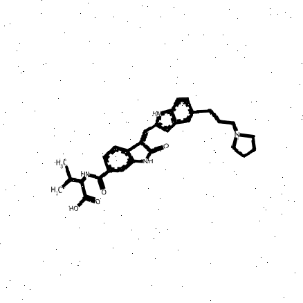 CC(C)C(NC(=O)c1ccc2c(c1)NC(=O)C2=Cc1cc2cc(CCCN3CCCC3)ccc2[nH]1)C(=O)O